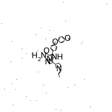 CC=CN1CCC(c2cnn3c(C(N)=O)c(-c4ccc(Oc5ccc(OC)cc5)cc4)[nH]c23)C1